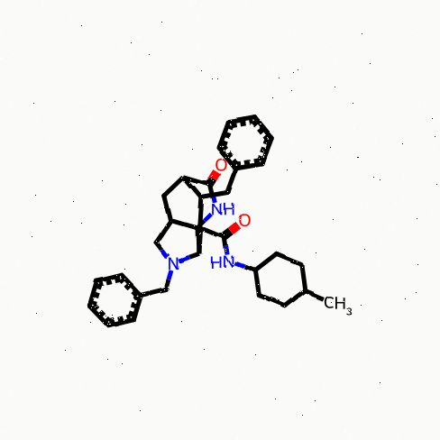 CC1CCC(NC(=O)C23NC(=O)C4CC2CN(Cc2ccccc2)C3C4Cc2ccccc2)CC1